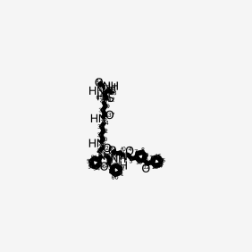 C[C@H](NC(=O)Cc1cccc(C(=O)c2ccccc2)c1)C(=O)N[C@@H]1CN(CC(=O)NCCCCCNC(=O)CCC[C@@H]2SC[C@@H]3NC(=O)N[C@@H]32)c2ccccc2O[C@@H]1c1ccccc1